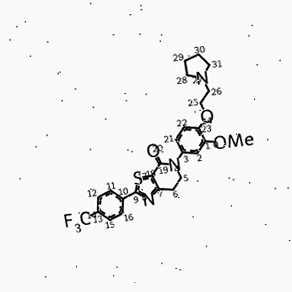 COc1cc(N2CCc3nc(-c4ccc(C(F)(F)F)cc4)sc3C2=O)ccc1OCCN1CCCC1